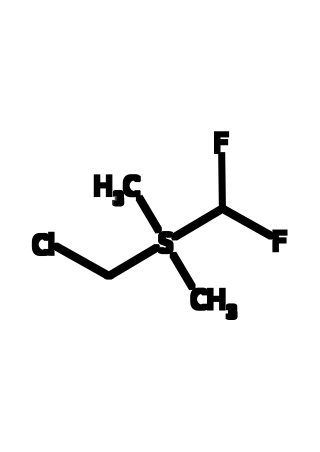 CS(C)(CCl)C(F)F